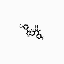 COc1cccc(-c2cnc3ccc(NC(C)c4cccc(F)c4)nn23)c1